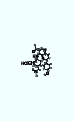 COc1ccc(-c2ccc3ncc(C(C)=O)c(NC4CCC(CN(C)C)CC4)c3n2)cc1.Cl.Cl